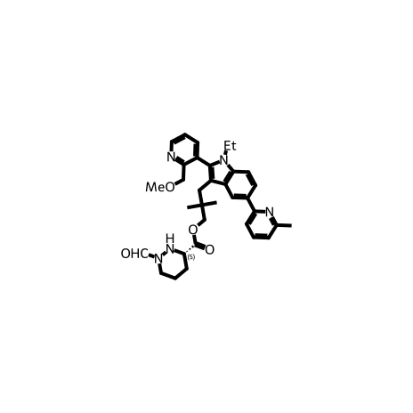 CCn1c(-c2cccnc2COC)c(CC(C)(C)COC(=O)[C@@H]2CCCN(C=O)N2)c2cc(-c3cccc(C)n3)ccc21